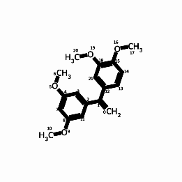 C=C(c1cc(OC)cc(OC)c1)c1ccc(OC)c(OC)c1